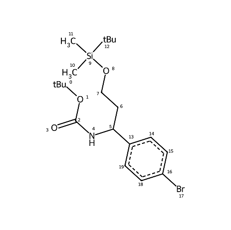 CC(C)(C)OC(=O)NC(CCO[Si](C)(C)C(C)(C)C)c1ccc(Br)cc1